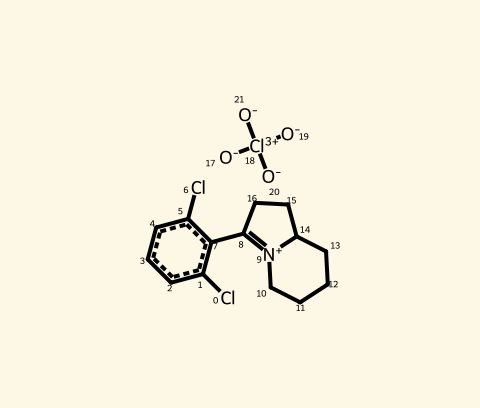 Clc1cccc(Cl)c1C1=[N+]2CCCCC2CC1.[O-][Cl+3]([O-])([O-])[O-]